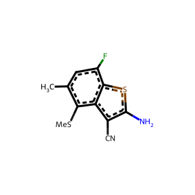 CSc1c(C)cc(F)c2sc(N)c(C#N)c12